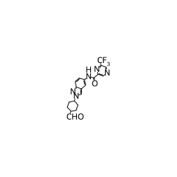 O=CC1CCC(n2cc3cc(NC(=O)c4cncc(C(F)(F)F)n4)ccc3n2)CC1